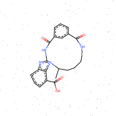 CC1CCCCNC(=O)c2cccc(c2)C(=O)Nc2nc3cccc(C(=O)O)c3n21